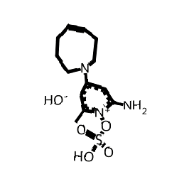 Cc1cc(N2CCC=CCCC2)cc(N)[n+]1OS(=O)(=O)O.[OH-]